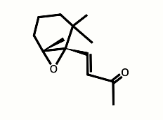 CC(=O)/C=C/[C@@]12O[C@]1(C)CCCC2(C)C